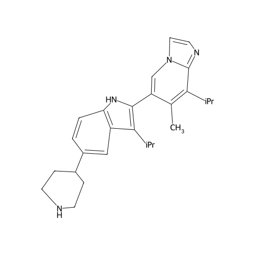 Cc1c(-c2[nH]c3ccc(C4CCNCC4)cc3c2C(C)C)cn2ccnc2c1C(C)C